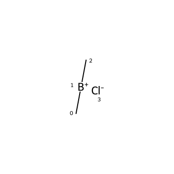 C[B+]C.[Cl-]